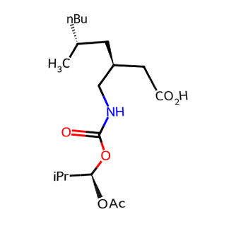 CCCC[C@@H](C)C[C@H](CNC(=O)O[C@@H](OC(C)=O)C(C)C)CC(=O)O